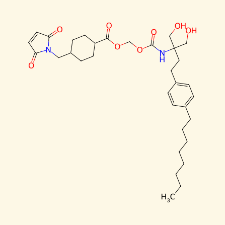 CCCCCCCCc1ccc(CCC(CO)(CO)NC(=O)OCOC(=O)C2CCC(CN3C(=O)C=CC3=O)CC2)cc1